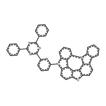 c1ccc(-c2nc(-c3ccccc3)nc(-c3cccc(-n4c5ccc6oc7ccc8c9ccccc9n9c%10cccc4c%10c5c6c7c89)n3)n2)cc1